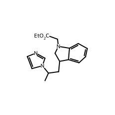 CCOC(=O)CN1CC(CC(C)n2ccnc2)c2ccccc21